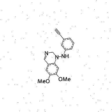 C#Cc1cccc(NN2CN=Cc3cc(OC)c(OC)cc32)c1